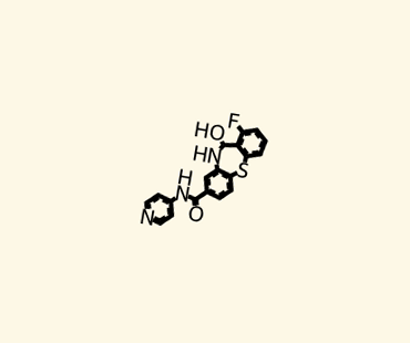 O=C(Nc1ccncc1)c1ccc2c(c1)NC(O)c1c(F)cccc1S2